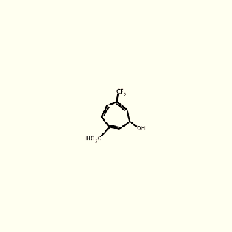 O=C(O)C1=CC(O)C=C(C(F)(F)F)C=C1